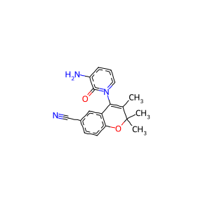 CC1=C(n2cccc(N)c2=O)c2cc(C#N)ccc2OC1(C)C